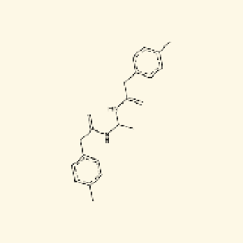 C=C(Cc1ccc(C)cc1)NC(C)NC(=C)Cc1ccc(C)cc1